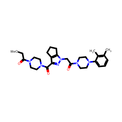 COCC(=O)N1CCN(C(=O)c2nn(CC(=O)N3CCN(c4cccc(C)c4C)CC3)c3c2CCC3)CC1